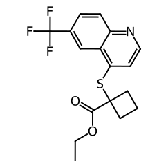 CCOC(=O)C1(Sc2ccnc3ccc(C(F)(F)F)cc23)CCC1